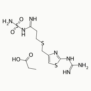 CCC(=O)O.N=C(N)Nc1nc(CSCCC(=N)NS(N)(=O)=O)cs1